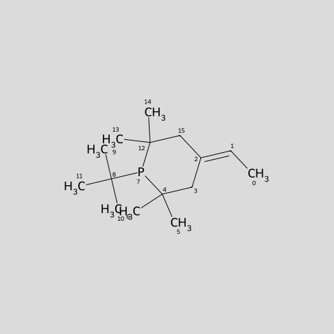 CC=C1CC(C)(C)P(C(C)(C)C)C(C)(C)C1